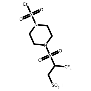 CCS(=O)(=O)N1CCN(S(=O)(=O)C(CS(=O)(=O)O)C(F)(F)F)CC1